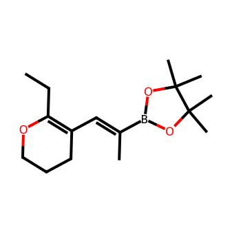 CCC1=C(/C=C(\C)B2OC(C)(C)C(C)(C)O2)CCCO1